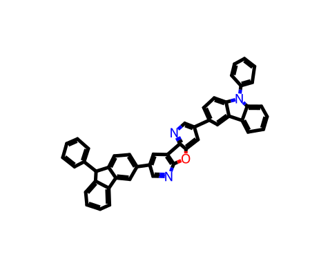 c1ccc(C2c3ccccc3-c3cc(-c4cnc5oc6cc(-c7ccc8c(c7)c7ccccc7n8-c7ccccc7)cnc6c5c4)ccc32)cc1